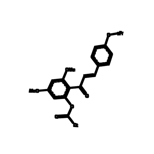 CCCOc1ccc(C=CC(=O)c2c(OC)cc(OC)cc2OC(=O)CC)cc1